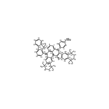 CC(C)(C)c1ccc(N2c3cccc4c3B(c3cc5c(cc3N4c3cccc4c3C(C)(C)c3ccccc3-4)C(C)(C)CCC5(C)C)c3sc4cc5c(cc4c32)C(C)(C)CCC5(C)C)cc1